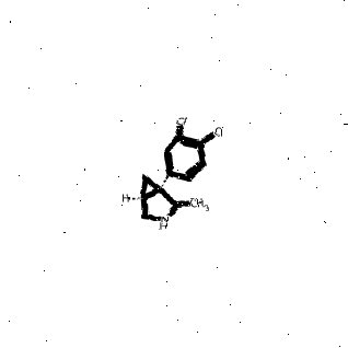 CC1NC[C@H]2C[C@@]12c1ccc(Cl)c(Cl)c1